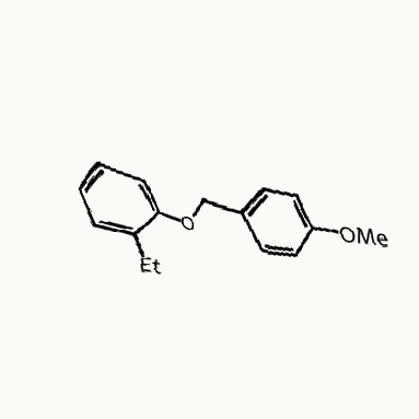 CCc1ccccc1OCc1ccc(OC)cc1